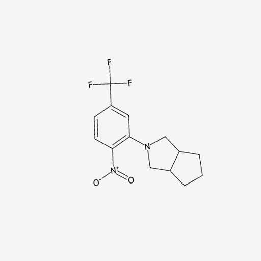 O=[N+]([O-])c1ccc(C(F)(F)F)cc1N1CC2CCCC2C1